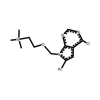 CC(=O)c1cc2c(Cl)ncnc2n1COCC[Si](C)(C)C